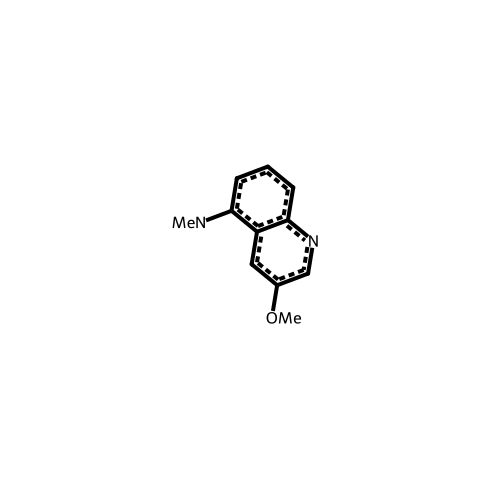 CNc1cccc2ncc(OC)cc12